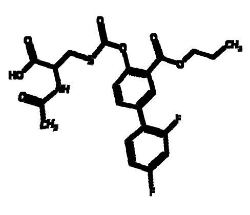 CCCOC(=O)c1cc(-c2ccc(F)cc2F)ccc1OC(=O)SCC(NC(C)=O)C(=O)O